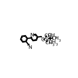 CC(C)(C)[Si](C)(C)OCc1ccc(-c2ccccc2C#N)nc1